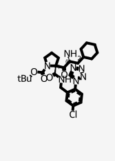 CC(C)(C)OC(=O)N1CCC[C@]1(C(=O)NCc1cc(Cl)ccc1-n1cnnn1)C(=O)[C@H](N)CC1CCCCC1